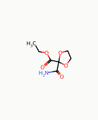 CCOC(=O)C1(C(N)=O)OCCO1